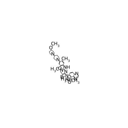 CCOC1CCN(C2CCN(c3cc(OC)c(Nc4ncc(Br)c(Nc5ccc6nccnc6c5P(C)(C)=O)n4)cc3C)CC2)C1